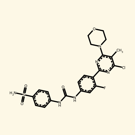 Cc1c(Cl)nc(-c2ccc(NC(=O)Nc3ccc(S(N)(=O)=O)cc3)cc2F)nc1N1CCOCC1